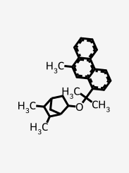 Cc1cc2c(C(C)(C)OC3CC4CC3C(C)C4C)cccc2c2ccccc12